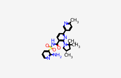 Cc1ccc(-c2ccc(C(=O)NS(=O)(=O)c3cccnc3N)c(N3C[C@@H](C)CC3(C)C)n2)cn1